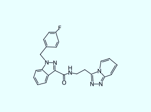 O=C(NCCc1nnc2ccccn12)c1nn(Cc2ccc(F)cc2)c2ccccc12